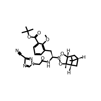 COc1c(C[C@H](NC(=O)Cn2cnc(C#N)n2)B2O[C@@H]3C[C@@H]4C[C@@H](C4(C)C)[C@]3(C)O2)cccc1C(=O)OC(C)(C)C